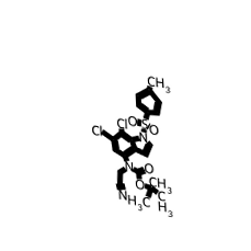 Cc1ccc(S(=O)(=O)n2ccc3c(N(CC#N)C(=O)OC(C)(C)C)cc(Cl)c(Cl)c32)cc1